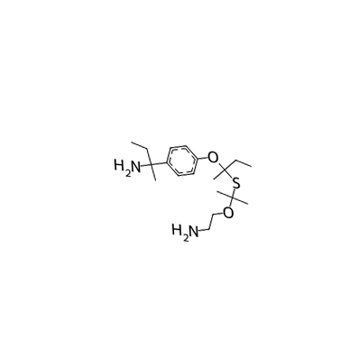 CCC(C)(Oc1ccc(C(C)(N)CC)cc1)SC(C)(C)OCCN